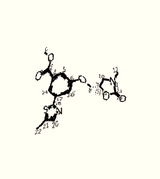 COC(=O)c1cc(OC[C@@H]2CN(C)C(=O)O2)cc(-c2ncc(C)s2)c1